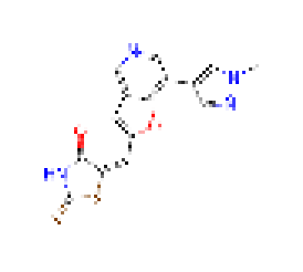 Cn1cc(-c2cncc3cc(C=C4SC(=S)NC4=O)oc23)cn1